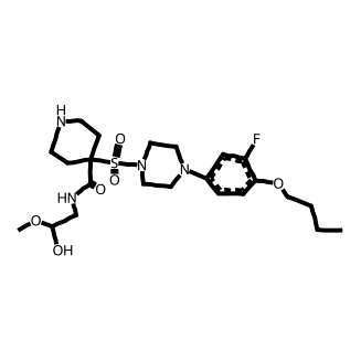 CCCCOc1ccc(N2CCN(S(=O)(=O)C3(C(=O)NCC(O)OC)CCNCC3)CC2)cc1F